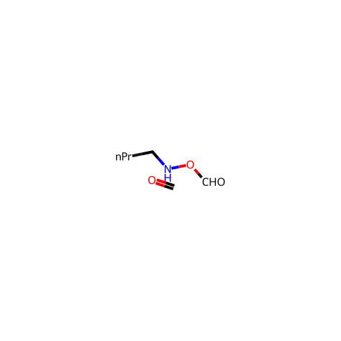 C=O.CCCCNOC=O